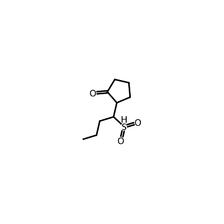 CCCC(C1CCCC1=O)[SH](=O)=O